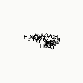 C=CCOC1C[C@H](n2ccc(N)nc2=O)O[C@@H]1COP(=O)(O)OP(=O)(O)OP(=O)(O)O